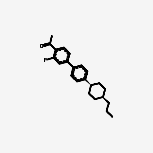 CCC[C@H]1CC[C@H](c2ccc(-c3ccc(C(C)=O)c(F)c3)cc2)CC1